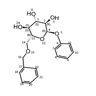 O[C@@H]1[C@@H](O)[C@@H](Oc2ccccc2)O[C@H](COCc2ccccc2)[C@H]1O